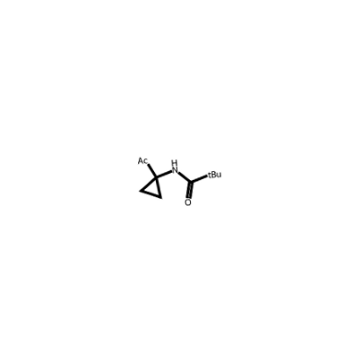 CC(=O)C1(NC(=O)C(C)(C)C)CC1